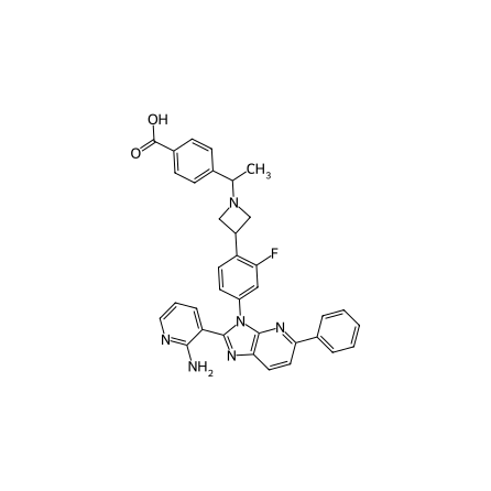 CC(c1ccc(C(=O)O)cc1)N1CC(c2ccc(-n3c(-c4cccnc4N)nc4ccc(-c5ccccc5)nc43)cc2F)C1